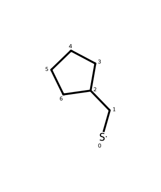 [S]CC1CCCC1